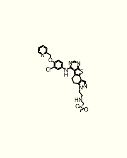 CS(=O)(=O)CNCCn1ncc2c1CCc1c-2sc2ncnc(Nc3ccc(OCc4ccccn4)c(Cl)c3)c12